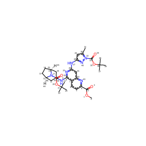 COC(=O)c1ccc2c(NC3C[C@H]4CC[C@@H](C3)N4C(=O)OC(C)(C)C)nc(Nc3cc(C)n(C(=O)OC(C)(C)C)n3)cc2n1